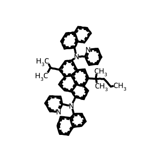 CCCC(C)(C)c1cc2c(N(c3ccccn3)c3cccc4ccccc34)cc(C(C)C)c3ccc4c(N(c5ccccn5)c5cccc6ccccc56)ccc1c4c32